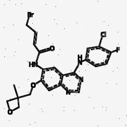 CC1(COc2cc3ncnc(Nc4ccc(F)c(Cl)c4)c3cc2NC(=O)C=CCBr)COC1